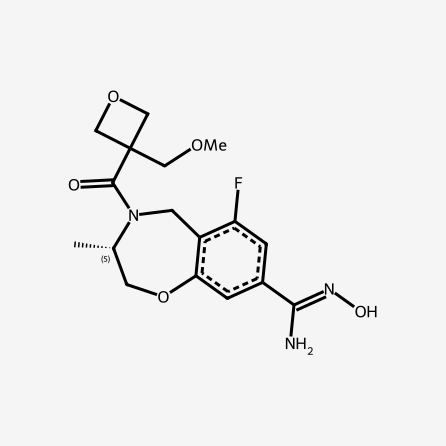 COCC1(C(=O)N2Cc3c(F)cc(C(N)=NO)cc3OC[C@@H]2C)COC1